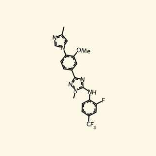 COc1cc(-c2nc(Nc3ccc(C(F)(F)F)cc3F)n(C)n2)ccc1-n1cnc(C)c1